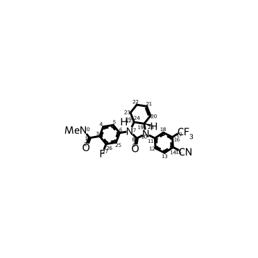 CNC(=O)c1ccc(N2C(=O)N(c3ccc(C#N)c(C(F)(F)F)c3)[C@H]3C=CCC[C@@H]32)cc1F